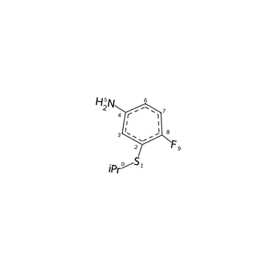 CC(C)Sc1cc(N)ccc1F